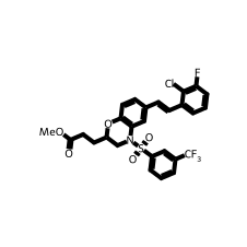 COC(=O)CCC1CN(S(=O)(=O)c2cccc(C(F)(F)F)c2)c2cc(C=Cc3cccc(F)c3Cl)ccc2O1